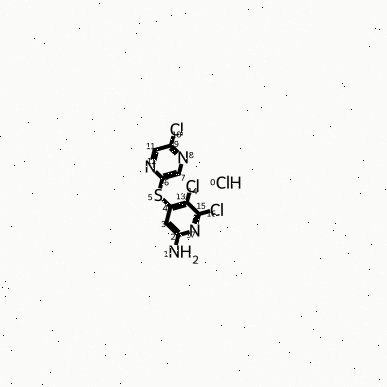 Cl.Nc1cc(Sc2cnc(Cl)cn2)c(Cl)c(Cl)n1